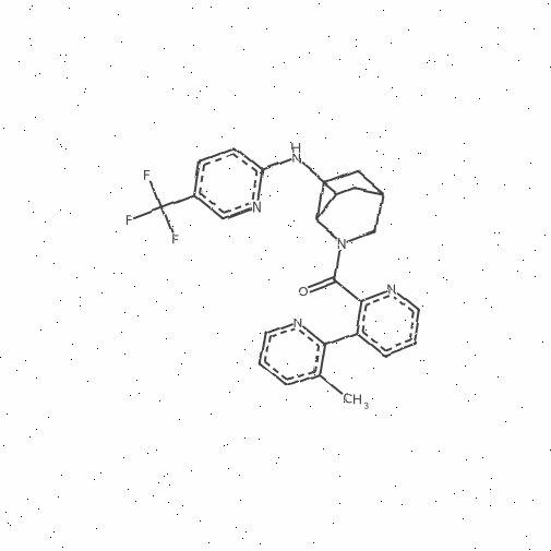 Cc1cccnc1-c1cccnc1C(=O)N1CC2CCC1C(Nc1ccc(C(F)(F)F)cn1)C2